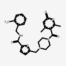 Cc1cc(=O)oc(C)c1C(=O)N1CCN(Cc2ccc(C(=O)NCc3ccccc3C(F)(F)F)s2)CC1